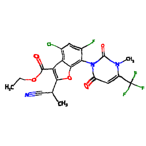 CCOC(=O)c1c(C(C)C#N)oc2c(-n3c(=O)cc(C(F)(F)F)n(C)c3=O)c(F)cc(Cl)c12